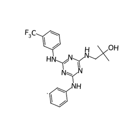 CC(C)(O)CNc1nc(Nc2c[c]ccc2)nc(Nc2cccc(C(F)(F)F)c2)n1